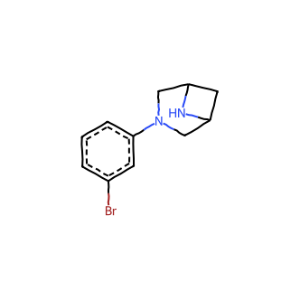 Brc1cccc(N2CC3CC(C2)N3)c1